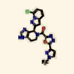 O=C(c1nnc(-c2ccn(C(F)(F)F)n2)o1)N1CCc2[nH]cnc2[C@H]1c1cc2cccc(Cl)n2n1